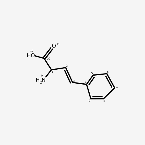 NC(C=Cc1ccccc1)C(=O)O